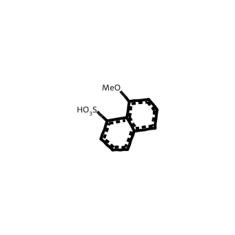 COc1cccc2cccc(S(=O)(=O)O)c12